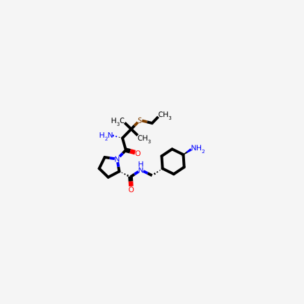 CCSC(C)(C)[C@@H](N)C(=O)N1CCC[C@H]1C(=O)NC[C@H]1CC[C@H](N)CC1